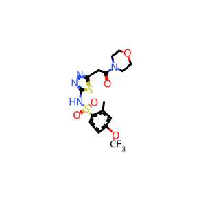 Cc1cc(OC(F)(F)F)ccc1S(=O)(=O)Nc1nnc(CC(=O)N2CCOCC2)s1